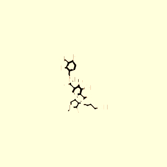 C[C@@H]1C2C(CP1C)n1cc(C(=O)NCc3ccc(F)c(Cl)c3F)c(=O)c(O)c1C(=O)N2CCCO